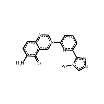 CC(C)n1cnnc1-c1cccc(-n2cnc3ccc(N)c(=O)c-3c2)n1